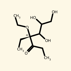 CCO[C@@](CC)(C(=O)CC)C(O)C(O)CO